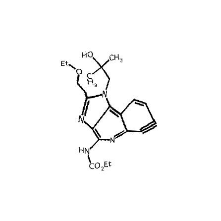 CCOCc1nc2c(NC(=O)OCC)nc3c#cccc3c2n1CC(C)(C)O